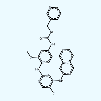 COc1cc(NC(=O)NCc2cccnc2)ccc1Nc1ncc(Cl)c(Nc2ccc3ccccc3c2)n1